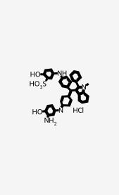 Cl.Cn1c(-c2ccccc2)c(C(=C2C=CC(=Nc3ccc(O)c(N)c3)C=C2)c2ccc(Nc3ccc(O)c(S(=O)(=O)O)c3)cc2)c2ccccc21